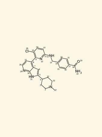 CN1CCC(c2cc3c(-c4nc(NCc5ccc(C(N)=O)cc5)ccc4Cl)ccnc3[nH]2)CC1